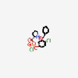 O=C(OP(=O)(Cl)Oc1ccc(Cl)cc1)[C@@H]1CCCN1OCc1ccccc1